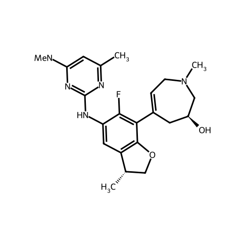 CNc1cc(C)nc(Nc2cc3c(c(C4=CCN(C)C[C@@H](O)C4)c2F)OC[C@@H]3C)n1